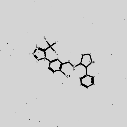 Oc1ccc(-n2nnnc2C(F)(F)F)cc1CNC1CCNC1c1ccccc1